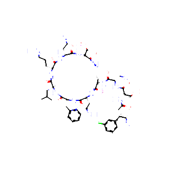 CC(C)C[C@@H]1NC(=O)[C@@H](Cc2ccccc2)NC(=O)[C@H](CCN)NC(=O)[C@@H](NC(=O)[C@H](CN)NC(=O)[C@@H](NC(=O)C[C@H](CN)c2cccc(Cl)c2)[C@@H](C)O)CCNC(=O)[C@H]([C@@H](C)O)NC(=O)[C@H](CCN)NC(=O)[C@H](CCCN)NC1=O